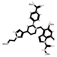 COCCn1cc(C2CCN(Cc3c(OC)cc(C)c4c3ccn4C(=O)OC(C)(C)C)[C@H](c3ccc(C(=O)OC)cc3)C2)cn1